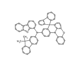 CC1(C)c2ccccc2-c2ccc(N(c3ccc4c(c3)C3(c5ccccc5-c5ccccc53)c3cccc5c3N4c3ccccc3O5)c3cccc4c3oc3ccccc34)cc21